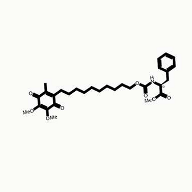 COC(=O)[C@H](Cc1ccccc1)NC(=O)OCCCCCCCCCCC1=C(C)C(=O)C(OC)=C(OC)C1=O